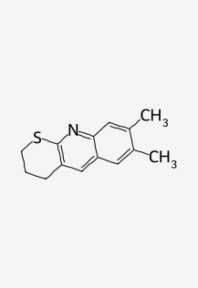 Cc1cc2cc3c(nc2cc1C)SCCC3